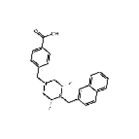 C[C@@H]1CN(Cc2ccc(C(=O)O)cc2)C[C@H](C)N1Cc1ccc2ccccc2c1